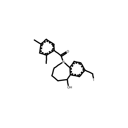 Cc1ccc(C(=O)N2CCCC(O)c3cc(CI)ccc32)c(C)c1